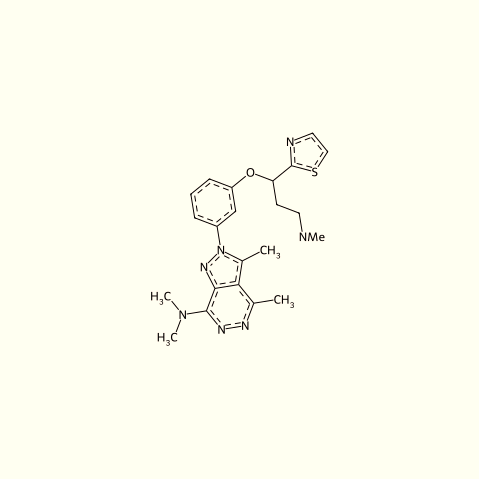 CNCCC(Oc1cccc(-n2nc3c(N(C)C)nnc(C)c3c2C)c1)c1nccs1